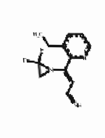 CCc1cccnc1/C(=C/C=N)N1CC1(F)F